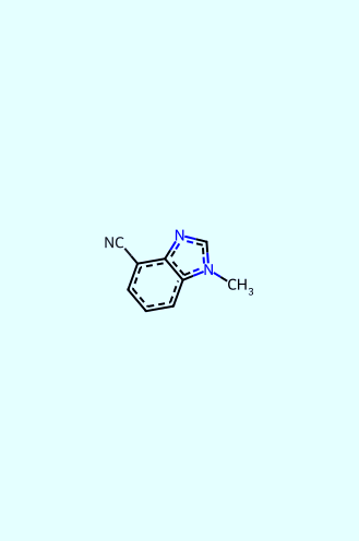 Cn1cnc2c(C#N)cccc21